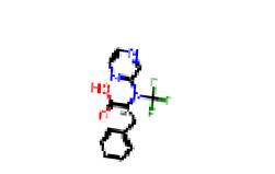 O=C(O)[C@H](Cc1ccccc1)N(c1cnccn1)C(F)(F)F